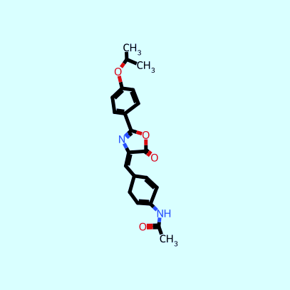 CC(=O)NC1=CCC(/C=C2/N=C(c3ccc(OC(C)C)cc3)OC2=O)C=C1